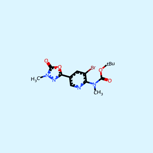 CN(C(=O)OC(C)(C)C)c1ncc(-c2nn(C)c(=O)o2)cc1Br